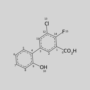 O=C(O)c1cc(-c2ccccc2O)cc(Cl)c1F